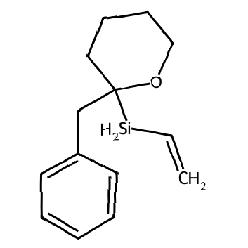 C=C[SiH2]C1(Cc2ccccc2)CCCCO1